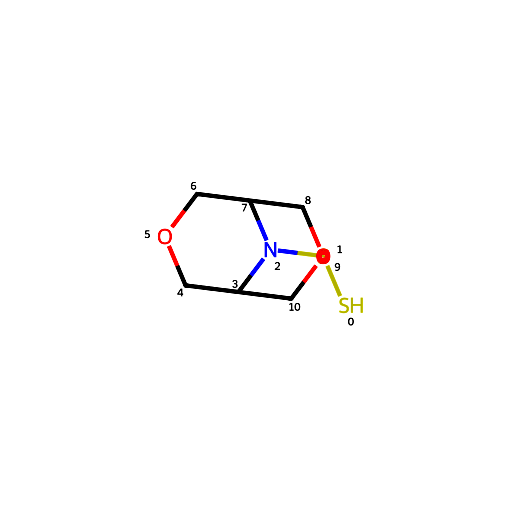 SSN1C2COCC1COC2